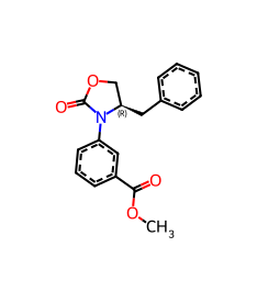 COC(=O)c1cccc(N2C(=O)OC[C@H]2Cc2ccccc2)c1